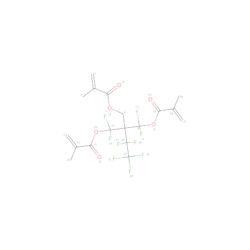 C=C(C)C(=O)OCC(C(F)(F)OC(=O)C(=C)C)(C(F)(F)OC(=O)C(=C)C)C(F)(F)C(F)(F)F